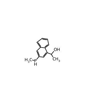 CPc1cc(C(C)O)c2ccccc2c1